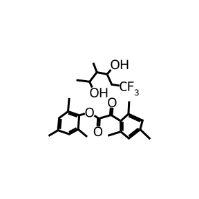 CC(O)C(C)C(O)CC(F)(F)F.Cc1cc(C)c(OC(=O)C(=O)c2c(C)cc(C)cc2C)c(C)c1